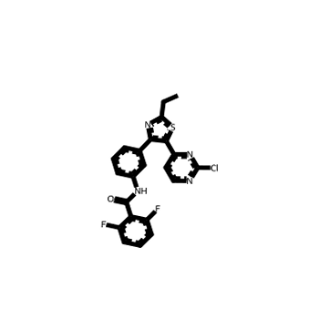 CCc1nc(-c2cccc(NC(=O)c3c(F)cccc3F)c2)c(-c2ccnc(Cl)n2)s1